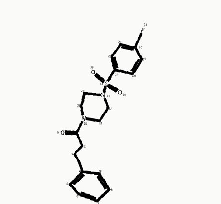 O=C(CCc1ccccc1)N1CCN(S(=O)(=O)c2ccc(F)cc2)CC1